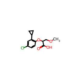 COCC(Oc1ccc(Cl)cc1C1CC1)C(=O)O